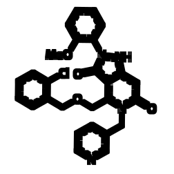 COc1ccccc1-n1[nH]c2cc(=O)n(Cc3cccnc3)c(COCc3ccccc3Cl)c2c1=O